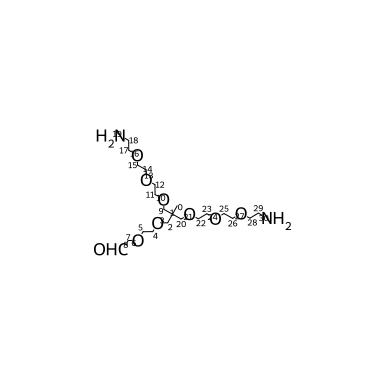 CC(COCCOCC=O)(COCCOCCOCCN)COCCOCCOCCN